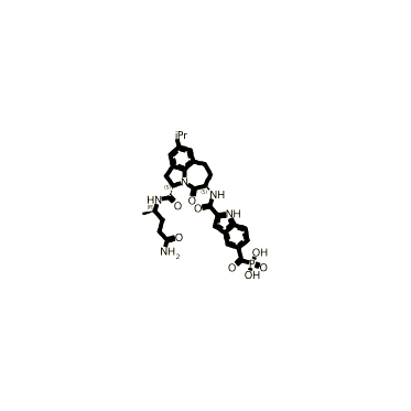 CC(C)c1cc2c3c(c1)C[C@@H](C(=O)N[C@H](C)CCC(N)=O)N3C(=O)[C@@H](NC(=O)c1cc3cc(C(=O)P(=O)(O)O)ccc3[nH]1)CC2